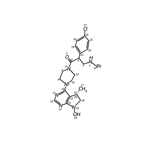 CC(C)NCC(C(=O)N1CCN(c2ncnc3c2[C@H](C)CN3O)CC1)c1ccc(Cl)cc1